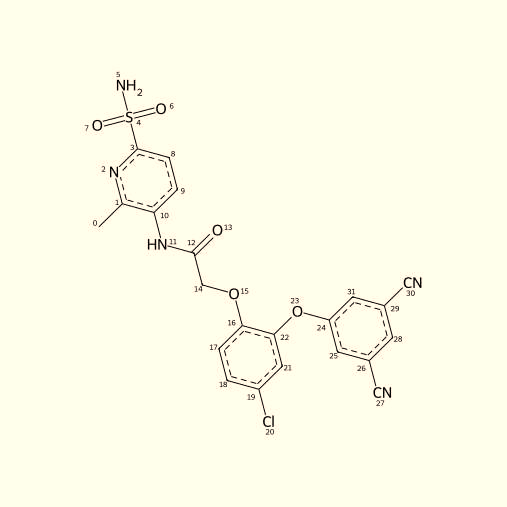 Cc1nc(S(N)(=O)=O)ccc1NC(=O)COc1ccc(Cl)cc1Oc1cc(C#N)cc(C#N)c1